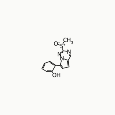 C[S+]([O-])c1ncc2ccc(-c3ccccc3O)n2n1